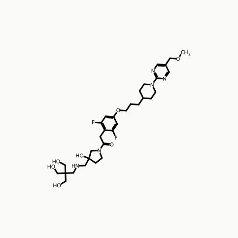 COCc1cnc(N2CCC(CCCOc3cc(F)c(CC(=O)N4CCC(O)(CNCC(CO)(CO)CO)C4)c(F)c3)CC2)nc1